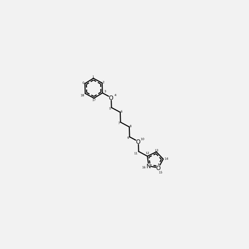 c1ccc(OCCCCCOCc2ccon2)cc1